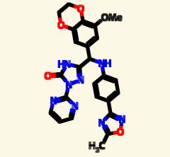 COc1cc(C(Nc2ccc(-c3noc(C)n3)cc2)c2nn(-c3ncccn3)c(=O)[nH]2)cc2c1OCCO2